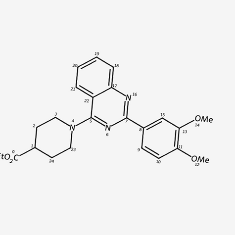 CCOC(=O)C1CCN(c2nc(-c3ccc(OC)c(OC)c3)nc3ccccc23)CC1